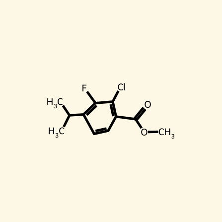 COC(=O)c1ccc(C(C)C)c(F)c1Cl